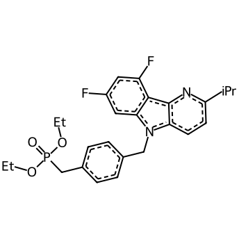 CCOP(=O)(Cc1ccc(Cn2c3ccc(C(C)C)nc3c3c(F)cc(F)cc32)cc1)OCC